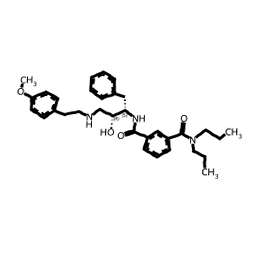 CCCN(CCC)C(=O)c1cccc(C(=O)N[C@@H](Cc2ccccc2)[C@H](O)CNCCc2ccc(OC)cc2)c1